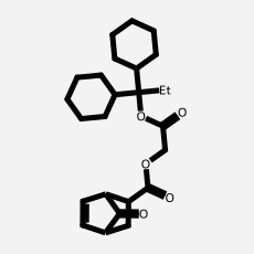 CCC(OC(=O)COC(=O)C1CC2C=CC1C2=O)(C1CCCCC1)C1CCCCC1